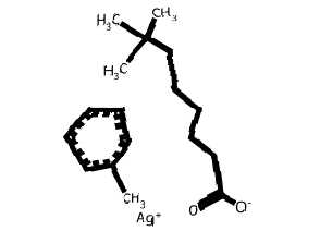 CC(C)(C)CCCCCC(=O)[O-].Cc1ccccc1.[Ag+]